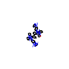 c1ccc(N2B(c3cccc(-c4cccc(B5N(c6ccccc6)c6ccccc6N5c5ccc(-c6ncccn6)cc5)c4)c3)N(c3ccc(-c4ccccn4)cc3)c3ccccc32)cc1